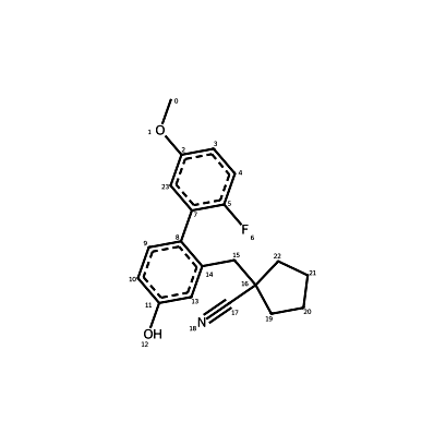 COc1ccc(F)c(-c2ccc(O)cc2CC2(C#N)CCCC2)c1